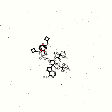 CC(C)(C)C(=O)O[C@H]1[C@@H](OC(=O)C(C)(C)C)[C@](C#N)(c2ccc3c(N)ncnn23)O[C@@H]1COP(=O)(N[C@@H](CC(=O)OC1CCC1)C(=O)OC1CCC1)Oc1ccccc1